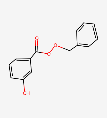 O=C(OOCc1ccccc1)c1cccc(O)c1